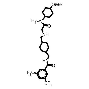 COC1CCC(N(C)C(=O)CNCC2CCC(CNC(=O)c3cc(C(F)(F)F)cc(C(F)(F)F)c3)CC2)CC1